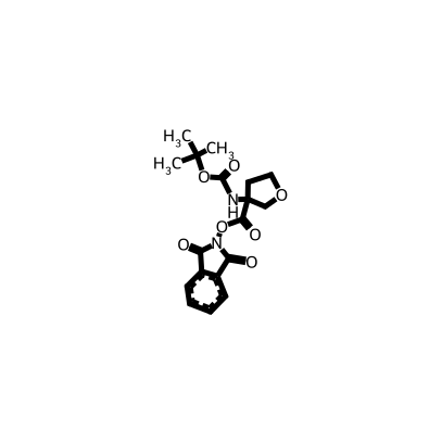 CC(C)(C)OC(=O)NC1(C(=O)ON2C(=O)c3ccccc3C2=O)CCOC1